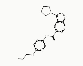 O=C(Nc1ccc(NCCO)nc1)c1cnc2[nH]nc(N3CCCC3)c2c1